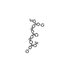 [3H]c1cccc(N(c2ccc(Oc3ccc(N(c4ccccc4)c4ccc(Oc5ccc(N(c6ccc(-c7ccccc7)cc6)c6cccc([3H])c6)cc5)cc4)cc3)cc2)c2ccc(-c3ccccc3)cc2)c1